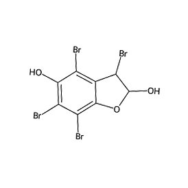 Oc1c(Br)c(Br)c2c(c1Br)C(Br)C(O)O2